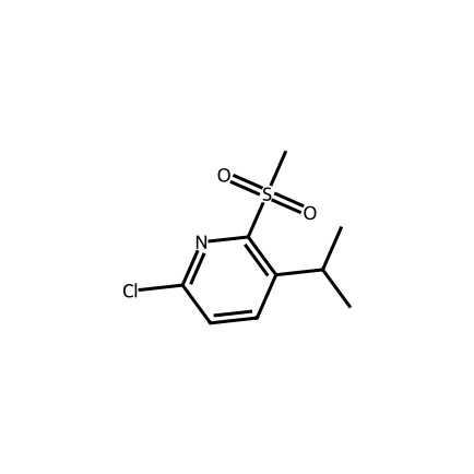 CC(C)c1ccc(Cl)nc1S(C)(=O)=O